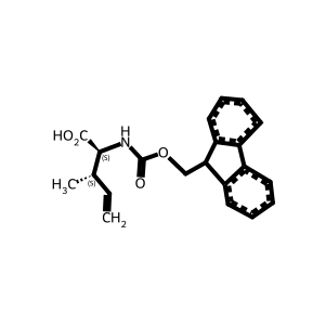 C=C[C@H](C)[C@H](NC(=O)OCC1c2ccccc2-c2ccccc21)C(=O)O